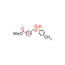 COC(=O)C12CCC(CC1)C(COS(=O)(=O)c1ccc(C)cc1)O2